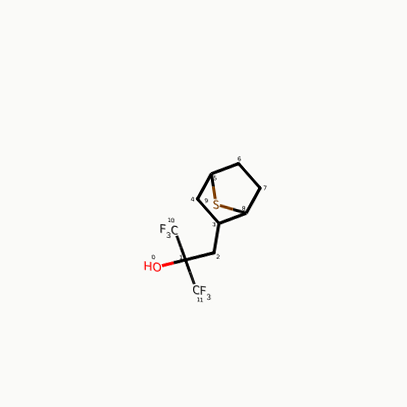 OC(CC1CC2CCC1S2)(C(F)(F)F)C(F)(F)F